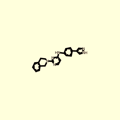 [c]1ccc2c(c1)CN(c1nccc(Nc3ccc(-c4cn[nH]c4)cc3)n1)CC2